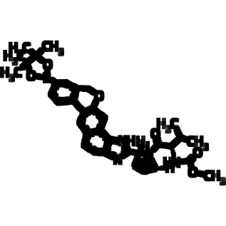 COC(=O)N[C@H](C(=O)N1[C@H](c2nc3ccc4cc5c(cc4c3[nH]2)OCc2cc(B3OC(C)(C)C(C)(C)O3)ccc2-5)C2C3[C@H]2[C@@H]31)C(C)C